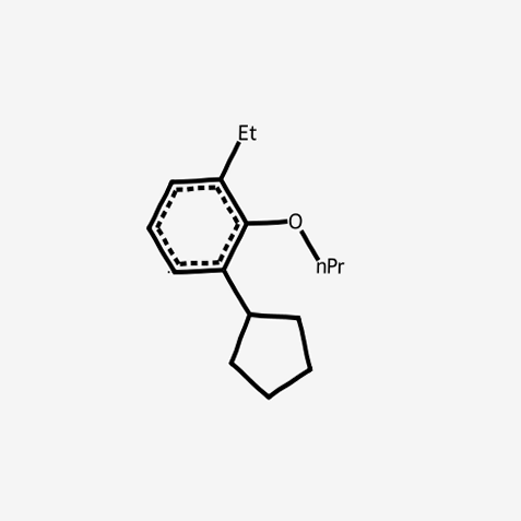 CCCOc1c(C2CCCC2)[c]ccc1CC